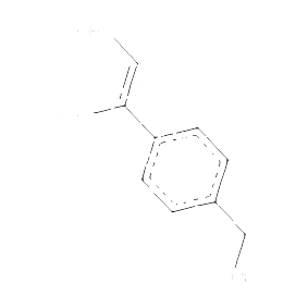 C/C(=C\C=O)c1ccc(CC(C)C)cc1